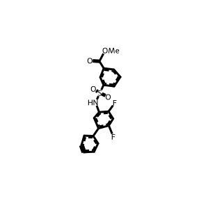 COC(=O)c1cccc(S(=O)(=O)Nc2cc(-c3cc#ccc3)c(F)cc2F)c1